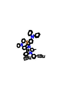 Cc1cc2c3c(c1)-n1c4c(ccc(N(c5ccccc5)c5ccccc5)c4c4sc5cc(N(c6ccccc6)c6ccccc6)ccc5c41)B3c1ccc(C(C)(C)C)cc1N2c1cccc(C(C)(C)C)c1